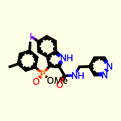 COP(=O)(c1cc(C)cc(C)c1)c1c(C(=O)NCc2ccnnc2)[nH]c2ccc(I)cc12